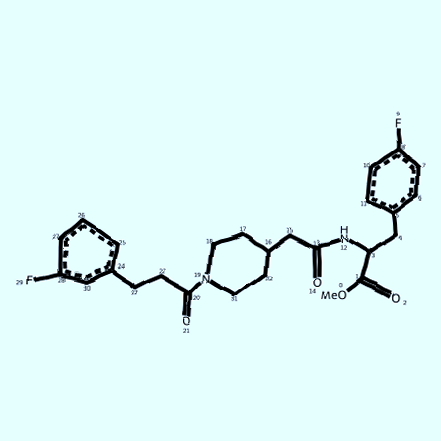 COC(=O)C(Cc1ccc(F)cc1)NC(=O)CC1CCN(C(=O)CCc2cccc(F)c2)CC1